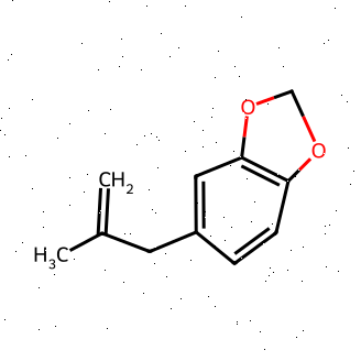 C=C(C)Cc1ccc2c(c1)OCO2